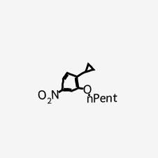 CCCCCOc1cc([N+](=O)[O-])ccc1C1CC1